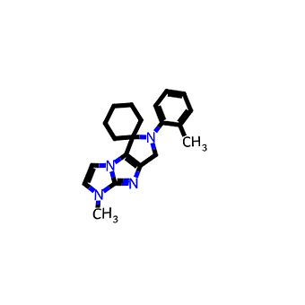 Cc1ccccc1N1Cc2nc3n(C)ccn3c2C12CCCCC2